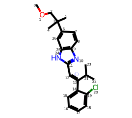 COCC(C)(C)c1ccc2nc(/C=C(/c3ccccc3Cl)C(C)C)[nH]c2c1